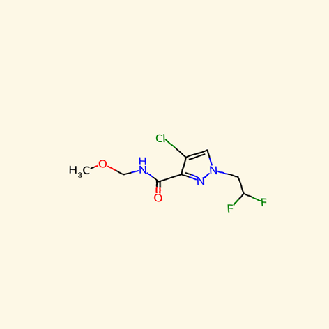 COCNC(=O)c1nn(CC(F)F)cc1Cl